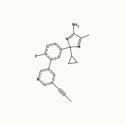 CC#Cc1cncc(-c2cc(C3(C4CC4)N=C(C)C(N)=N3)ccc2F)c1